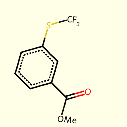 [CH2]OC(=O)c1cccc(SC(F)(F)F)c1